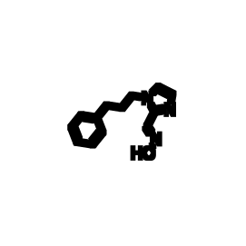 ON=Cc1nccn1CCCc1ccccc1